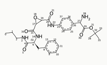 CCCNC(=O)[C@H](Cc1ccccc1)NC(=O)C1OC1C(=O)Nc1ccc(C(N)C(=O)OC(C)(C)C)cc1